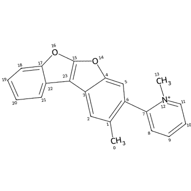 Cc1cc2c(cc1-c1cccc[n+]1C)oc1oc3ccccc3c12